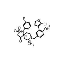 Cc1scnc1-c1cc(CN2CC[C@@]3(C[C@@H]2C)C(=O)CS(=O)(=O)N3c2cccc(F)c2)ccc1O